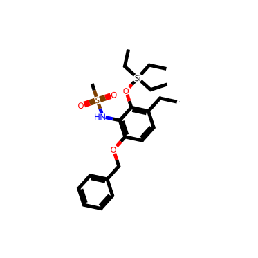 [CH2]Cc1ccc(OCc2ccccc2)c(NS(C)(=O)=O)c1O[Si](CC)(CC)CC